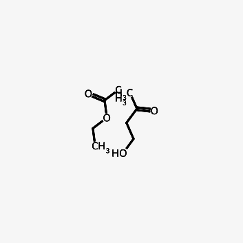 CC(=O)CCO.CCOC(C)=O